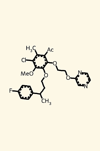 COc1c(Cl)c(C)c(C(C)=O)c(OCCOc2cnccn2)c1OCCC(C)c1ccc(F)cc1